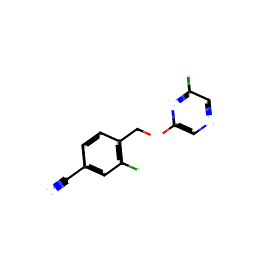 N#Cc1ccc(COc2cncc(Cl)n2)c(F)c1